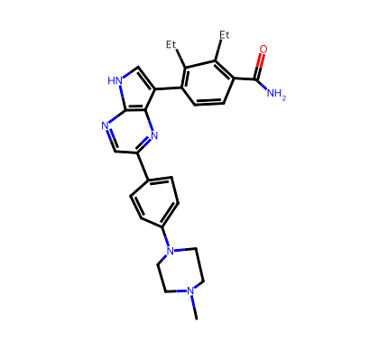 CCc1c(C(N)=O)ccc(-c2c[nH]c3ncc(-c4ccc(N5CCN(C)CC5)cc4)nc23)c1CC